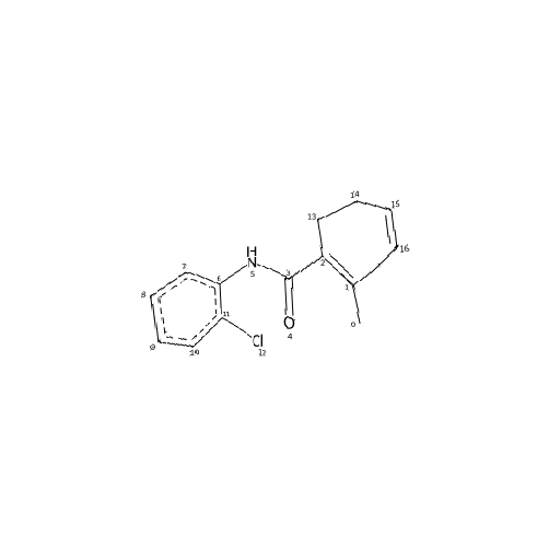 CC1=C(C(=O)Nc2ccccc2Cl)CCC=C1